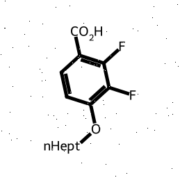 CCCCCCCOc1ccc(C(=O)O)c(F)c1F